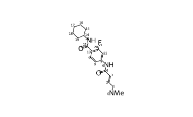 CNC/C=C/C(=O)Nc1ccc(C(=O)NC2CCCCC2)c(F)c1